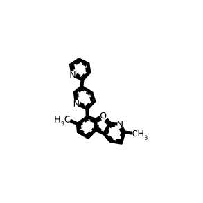 Cc1ccc2c(n1)oc1c(-c3ccc(-c4ccccn4)cn3)c(C)ccc12